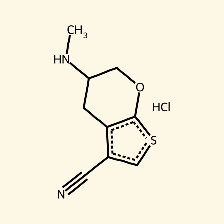 CNC1COc2scc(C#N)c2C1.Cl